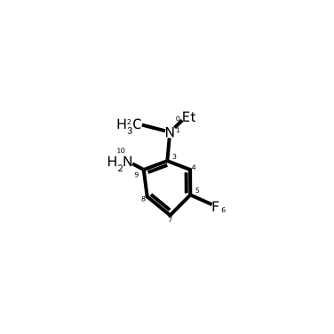 [CH2]CN(C)c1cc(F)ccc1N